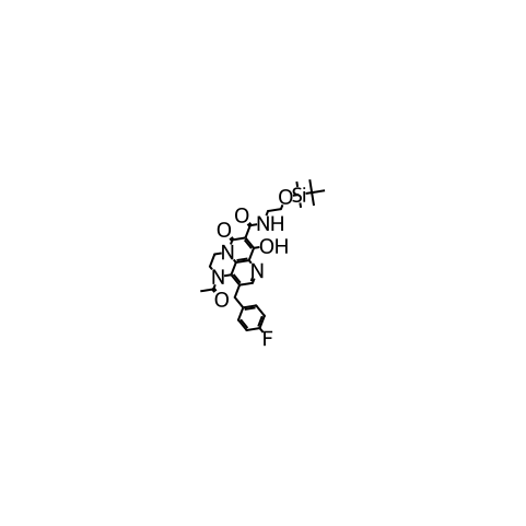 CC(=O)N1CCn2c(=O)c(C(=O)NCCO[Si](C)(C)C(C)(C)C)c(O)c3ncc(Cc4ccc(F)cc4)c1c32